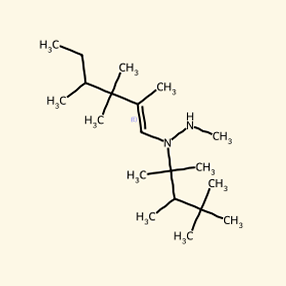 CCC(C)C(C)(C)/C(C)=C/N(NC)C(C)(C)C(C)C(C)(C)C